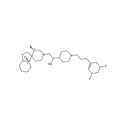 C[C@H]1CN(CC(O)C2CCN(CCCC3=CC(F)CC(F)C3)CC2)CCC12CCC1CCCC[C@H]12